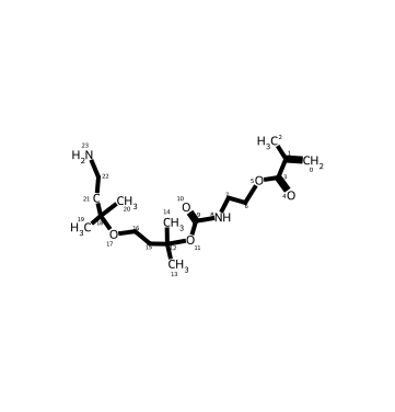 C=C(C)C(=O)OCCNC(=O)OC(C)(C)CCOC(C)(C)CCN